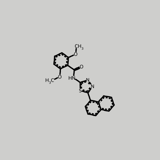 COc1cccc(OC)c1C(=O)Nc1nnc(-c2cccc3ccccc23)s1